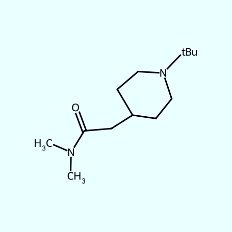 CN(C)C(=O)CC1CCN(C(C)(C)C)CC1